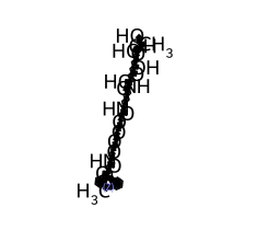 C/C1=C/c2ccccc2CN(C(=O)CCC(=O)NCCOCCOCCOCCOCCC(=O)NCCCCCC(=O)NC(O)CCC(=O)CC(O)CCCOC(O)(O)CC(C)CCO)c2ccccc21